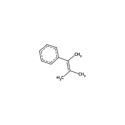 [CH2]/C(C)=C(/C)c1ccccc1